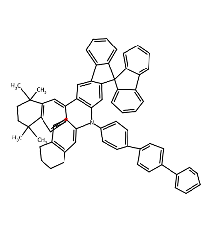 CC1(C)CCC(C)(C)c2cc(-c3cc4c(cc3N(c3ccc(-c5ccc(-c6ccccc6)cc5)cc3)c3ccc5c(c3)CCCC5)C3(c5ccccc5-c5ccccc53)c3ccccc3-4)ccc21